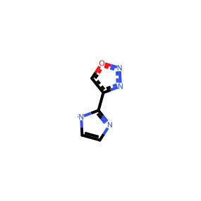 C1=CN=C(c2conn2)[N]1